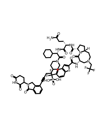 NC(=O)CC[C@H](NC(=O)[C@@H]1CC[C@@H]2CCN(CC(F)(F)F)C[C@H](NC(=O)c3cc4cc(C(F)(F)P(=O)(O)O)ccc4s3)C(=O)N21)C(=O)N[C@H](C(=O)N1CCC(CCC#Cc2cccc3c2CN(C2CCC(=O)NC2=O)C3=O)CC1)C1CCCCC1